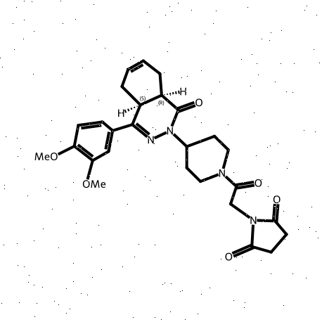 COc1ccc(C2=NN(C3CCN(C(=O)CN4C(=O)CCC4=O)CC3)C(=O)[C@@H]3CC=CC[C@H]23)cc1OC